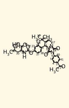 CC(=O)c1ccc(-n2c(=O)n3n(c2=O)C2C(=CC3)C(C)(C)Oc3cc(OC(=O)NC(CC(C)C)C(=O)O)ccc32)cc1